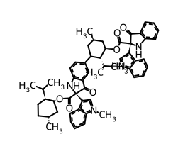 CC(C)[C@@H]1C(c2ccc3c(c2)C(=O)[C@@](C(=O)O[C@@H]2C[C@H](C)CC[C@H]2C(C)C)(c2cn(C)c4ccccc24)N3)C[C@@H](C)C[C@H]1OC(=O)[C@@]1(c2c[nH]c3ccccc23)Nc2ccccc2C1=O